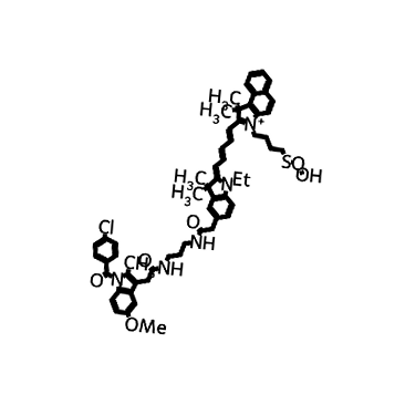 CCN1\C(=C/C=C/C=C/C2=[N+](CCCCSOO)c3ccc4ccccc4c3C2(C)C)C(C)(C)c2cc(CC(=O)NCCCNC(=O)Cc3c(C)n(C(=O)c4ccc(Cl)cc4)c4ccc(OC)cc34)ccc21